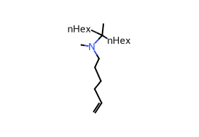 C=CCCCCN(C)C(C)(CCCCCC)CCCCCC